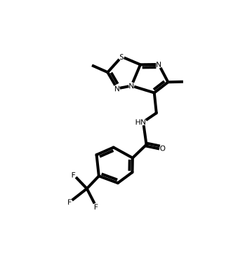 Cc1nn2c(CNC(=O)c3ccc(C(F)(F)F)cc3)c(C)nc2s1